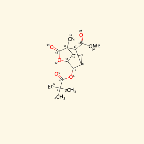 CCC(C)(C)C(=O)OC1C2CC3C1OC(=O)C3(C#N)C2C(=O)OC